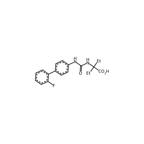 CCC(CC)(NC(=O)Nc1ccc(-c2ccccc2F)cc1)C(=O)O